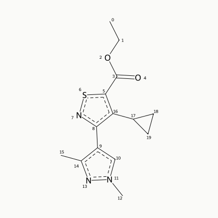 CCOC(=O)c1snc(-c2cn(C)nc2C)c1C1CC1